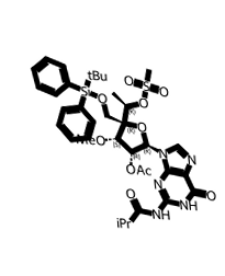 CO[C@H]1[C@@H](OC(C)=O)[C@H](n2cnc3c(=O)[nH]c(NC(=O)C(C)C)nc32)O[C@@]1(CO[Si](c1ccccc1)(c1ccccc1)C(C)(C)C)[C@@H](C)OS(C)(=O)=O